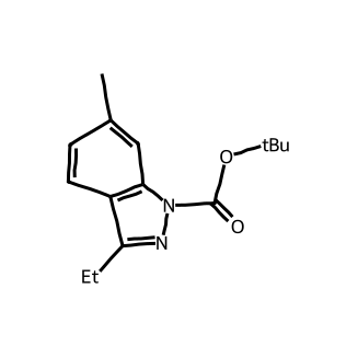 CCc1nn(C(=O)OC(C)(C)C)c2cc(C)ccc12